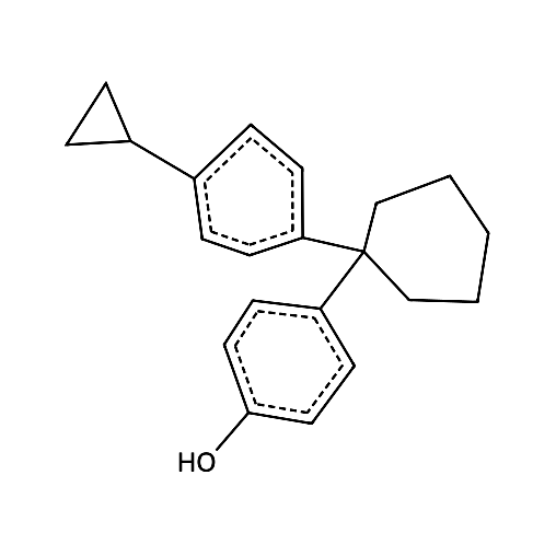 Oc1ccc(C2(c3ccc(C4CC4)cc3)CCCCC2)cc1